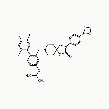 CC(C)Oc1ccc(-c2cc(F)c(F)cc2F)c(CN2CCC3(CC2)CN(c2ccc(N4OCO4)cc2)C(=O)O3)c1